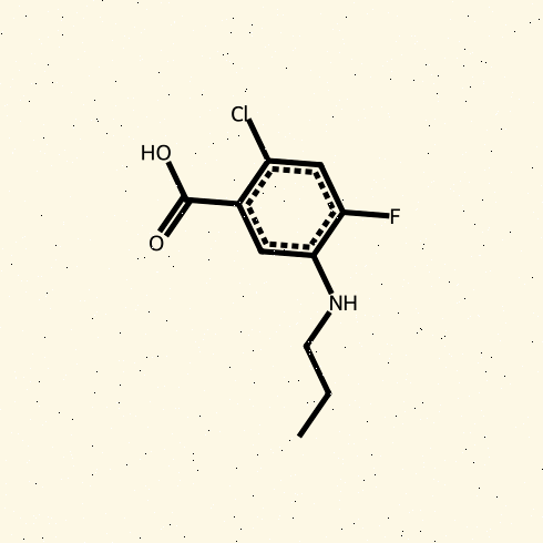 CCCNc1cc(C(=O)O)c(Cl)cc1F